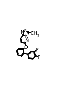 Cc1nnc2ccc(Oc3ccccc3-c3ccc(F)c(F)c3)nn12